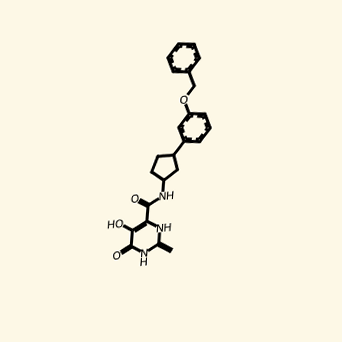 C=C1NC(=O)C(O)=C(C(=O)NC2CCC(c3cccc(OCc4ccccc4)c3)C2)N1